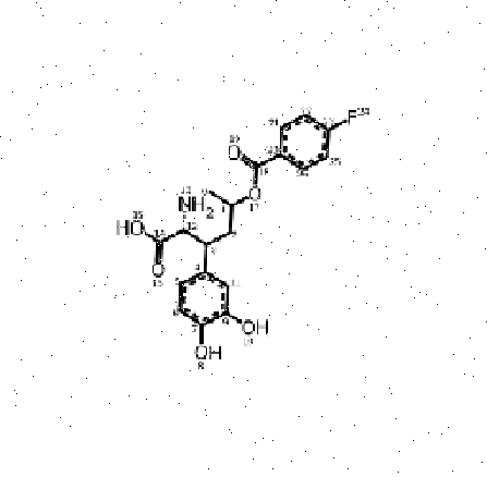 CC(CC(c1ccc(O)c(O)c1)[C@@H](N)C(=O)O)OC(=O)c1ccc(F)cc1